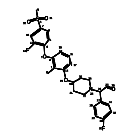 Cc1c(Oc2ccc(S(C)(=O)=O)cc2F)ncnc1OC1CCN(C(C=O)c2ccc(F)cc2)CC1